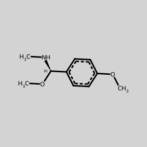 CN[C@H](OC)c1ccc(OC)cc1